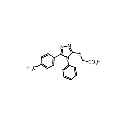 Cc1ccc(-c2nnc(SCC(=O)O)n2-c2ccccc2)cc1